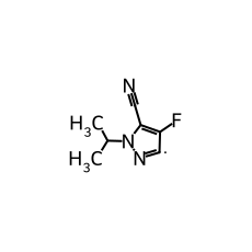 CC(C)n1n[c]c(F)c1C#N